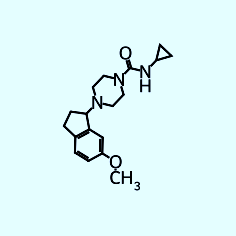 COc1ccc2c(c1)C(N1CCN(C(=O)NC3CC3)CC1)CC2